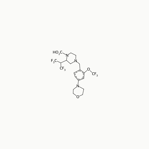 O=C(O)N1CCN(Cc2ccc(N3CCOCC3)cc2OC(F)(F)F)CC1C(C(F)(F)F)C(F)(F)F